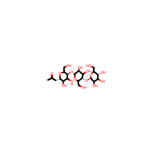 CC(=O)C[C@@H]1OC(CO)[C@@H](O[C@H]2OC(CO)[C@@H](O[C@H]3OC(CO)[C@H](O)C(O)C3O)C(O)C2O)C(O)C1O